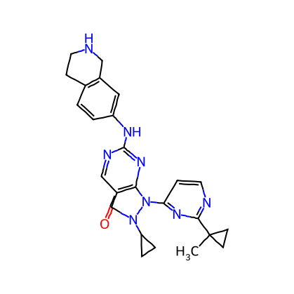 CC1(c2nccc(-n3c4nc(Nc5ccc6c(c5)CNCC6)ncc4c(=O)n3C3CC3)n2)CC1